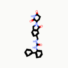 O=C1CCC(N2Cc3ccc(CNC(=O)Nc4ccccc4-c4ccccc4)cc3C2=O)C(=O)N1